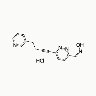 Cl.O/N=C\c1ccc(C#CCCc2cccnc2)nn1